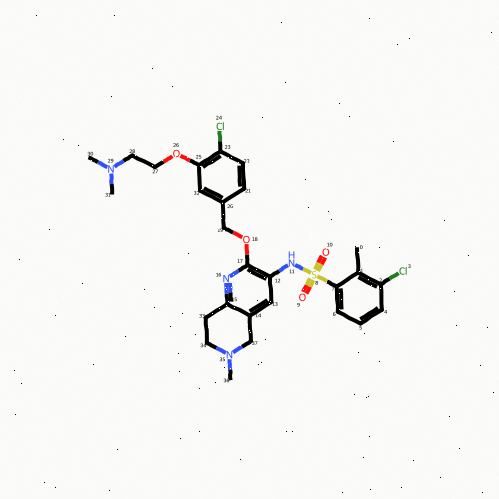 Cc1c(Cl)cccc1S(=O)(=O)Nc1cc2c(nc1OCc1ccc(Cl)c(OCCN(C)C)c1)CCN(C)C2